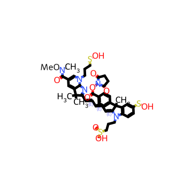 CON(C)C(=O)C1=CN(CCCSO)C2N=C(/C=C/C=C/C=C3/N(CCCS(=O)O)c4ccc(SO)cc4C3(C)c3ccc(C(=O)ON4C(=O)CCC4=O)cc3)C(C)(C)C2=C1